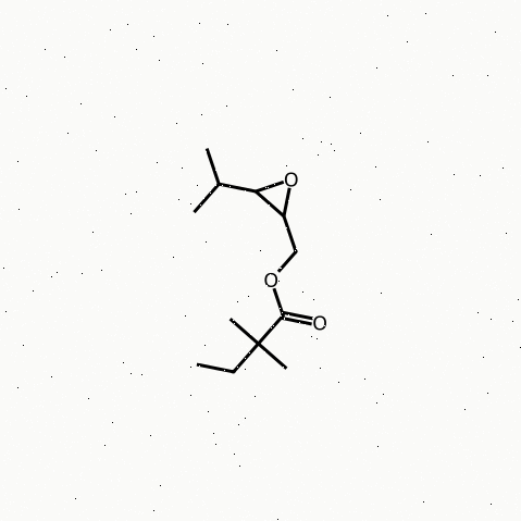 CCC(C)(C)C(=O)OCC1OC1C(C)C